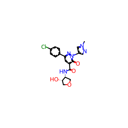 Cn1cc(-n2nc(-c3ccc(Cl)cc3)cc(C(=O)N[C@@H]3COC[C@@H]3O)c2=O)cn1